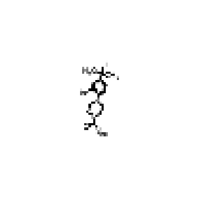 CC(C)(C)OC(=O)N1CCN(c2ccc(C(C)(C)O)cc2Br)CC1